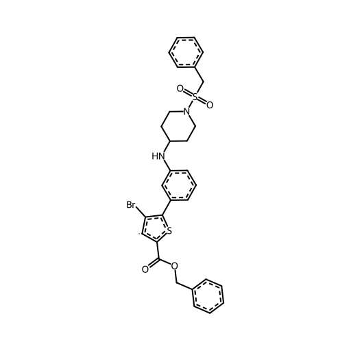 O=C(OCc1ccccc1)c1[c]c(Br)c(-c2cccc(NC3CCN(S(=O)(=O)Cc4ccccc4)CC3)c2)s1